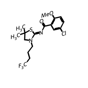 COc1ccc(Cl)cc1C(=O)/N=C1\SC(C)(C)CN1CCCC(F)(F)F